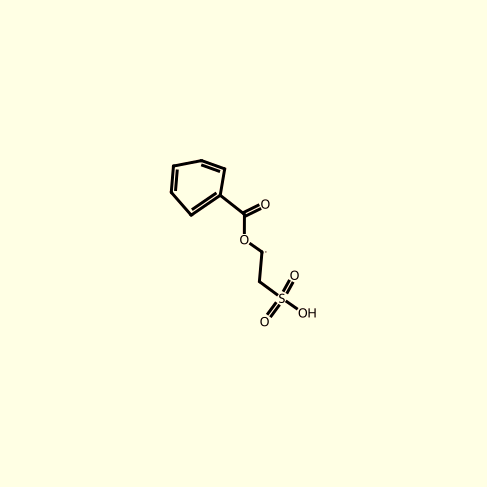 O=C(O[CH]CS(=O)(=O)O)c1ccccc1